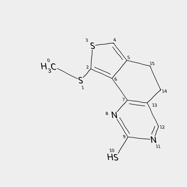 CSc1scc2c1-c1nc(S)ncc1CC2